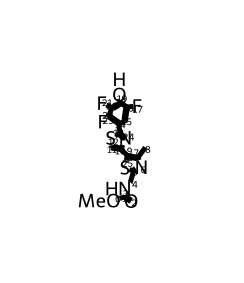 COC(=O)NCc1nc(C)c(-c2csc(-c3cc(F)c(O)c(F)c3F)n2)s1